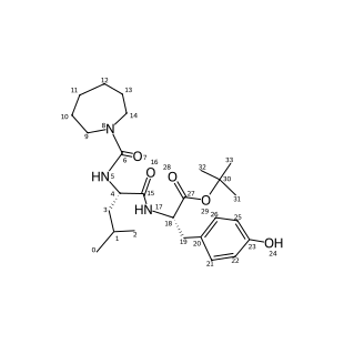 CC(C)C[C@H](NC(=O)N1CCCCCC1)C(=O)N[C@@H](Cc1ccc(O)cc1)C(=O)OC(C)(C)C